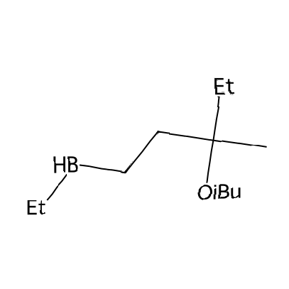 CCBCCC(C)(CC)OCC(C)C